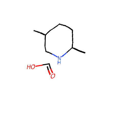 CC1CCC(C)NC1.O=CO